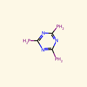 Pc1nc(P)nc(P)n1